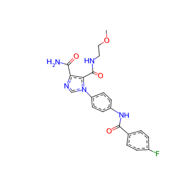 COCCNC(=O)c1c(C(N)=O)ncn1-c1ccc(NC(=O)c2ccc(F)cc2)cc1